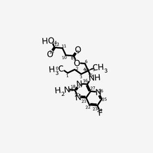 CCCC[C@](C)(COC(=O)CCC(=O)O)Nc1nc(N)nc2cc(F)cnc12